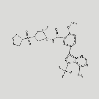 COc1ncc(-c2cc(C(F)(F)F)c3c(N)ncnn23)cc1C(=O)N[C@@H]1CN(S(=O)(=O)C2CCOC2)C[C@@H]1F